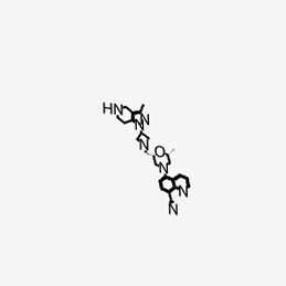 Cc1nn(C2CN(C[C@H]3CN(c4ccc(C#N)c5ncccc45)C[C@@H](C)O3)C2)c2c1CNCC2